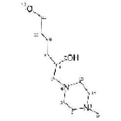 CN1CCN(CC(O)CCCC[O])CC1